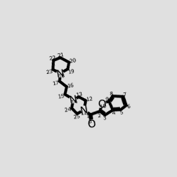 O=C(c1cc2ccccc2o1)N1CCN(CCCN2CCCCC2)CC1